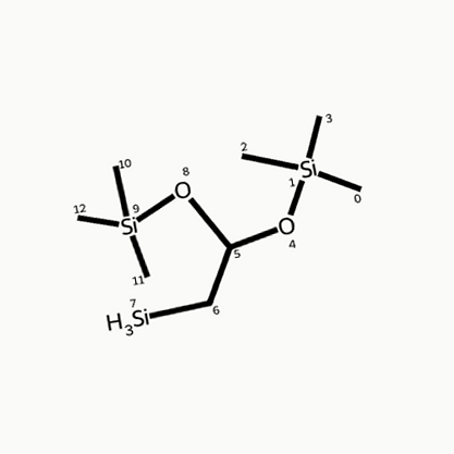 C[Si](C)(C)OC(C[SiH3])O[Si](C)(C)C